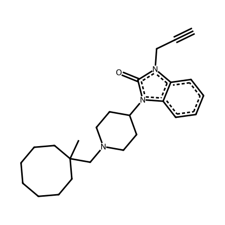 C#CCn1c(=O)n(C2CCN(CC3(C)CCCCCCC3)CC2)c2ccccc21